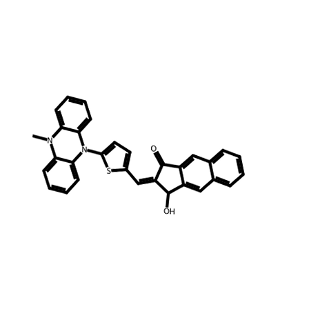 CN1c2ccccc2N(c2ccc(/C=C3\C(=O)c4cc5ccccc5cc4C3O)s2)c2ccccc21